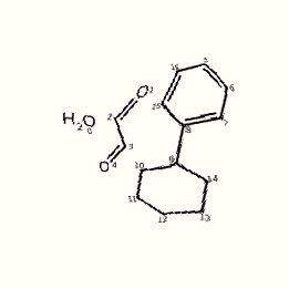 O.O=CC=O.c1ccc(C2CCCCC2)cc1